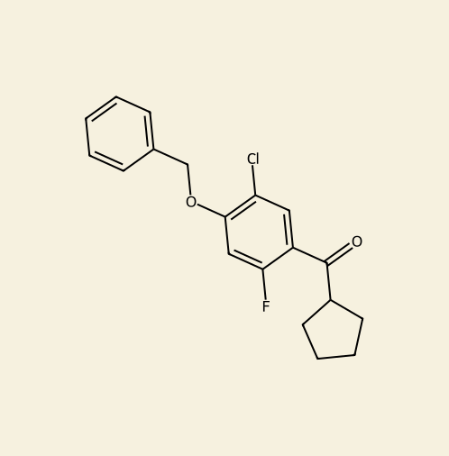 O=C(c1cc(Cl)c(OCc2ccccc2)cc1F)C1CCCC1